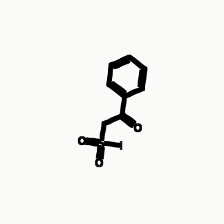 O=C(CS(=O)(=O)I)c1ccccc1